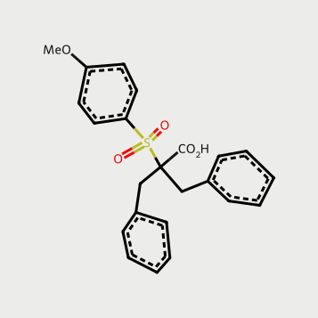 COc1ccc(S(=O)(=O)C(Cc2ccccc2)(Cc2ccccc2)C(=O)O)cc1